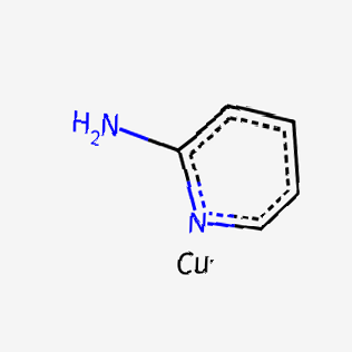 Nc1ccccn1.[Cu]